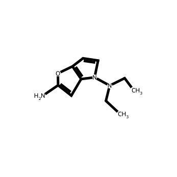 CCN(CC)n1ccc2oc(N)cc21